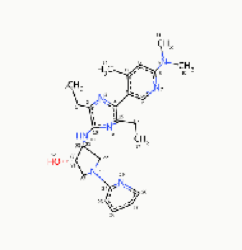 CCc1nc(-c2cnc(N(C)C)cc2C)c(CC)nc1N[C@@H]1CN(c2ccccn2)C[C@@H]1O